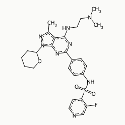 Cc1nn(C2CCCCO2)c2nc(-c3ccc(NS(=O)(=O)c4ccncc4F)cc3)nc(NCCN(C)C)c12